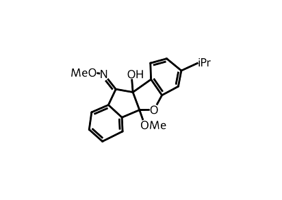 CO/N=C1\c2ccccc2C2(OC)Oc3cc(C(C)C)ccc3C12O